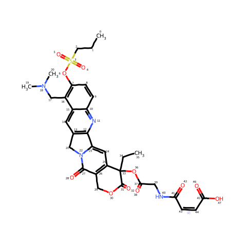 CCCS(=O)(=O)Oc1ccc2nc3c(cc2c1CN(C)C)Cn1c-3cc2c(c1=O)COC(=O)C2(CC)OC(=O)CNC(=O)/C=C\C(=O)O